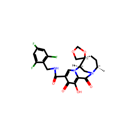 C[C@H]1CC[C@@]2(COCO2)[C@H]2CN1C(=O)c1c(O)c(=O)c(C(=O)NCc3c(F)cc(F)cc3F)cn12